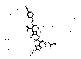 N#Cc1ccc(C=CC2=C(C(=O)O)N3C(=O)C(NC(=O)C(=NOCC(=O)O)c4csc(N)n4)[C@@H]3SC2)cc1